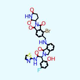 O=C1CCC(N2C(=O)c3ccc(CNc4cccc5c4C(=O)N(C(C(=O)Nc4nccs4)c4cc(F)ccc4O)C5)c(Br)c3C2=O)C(=O)N1